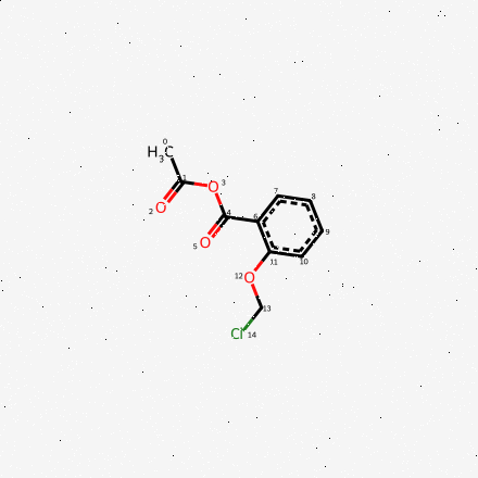 CC(=O)OC(=O)c1ccccc1OCCl